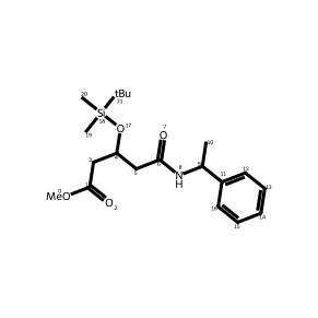 COC(=O)CC(CC(=O)NC(C)c1ccccc1)O[Si](C)(C)C(C)(C)C